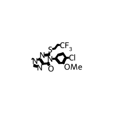 COc1cc(-n2c(SCCC(F)(F)F)nc3c(ncn3C)c2=O)ccc1Cl